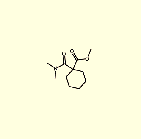 COC(=O)C1(C(=O)N(C)C)CCCCC1